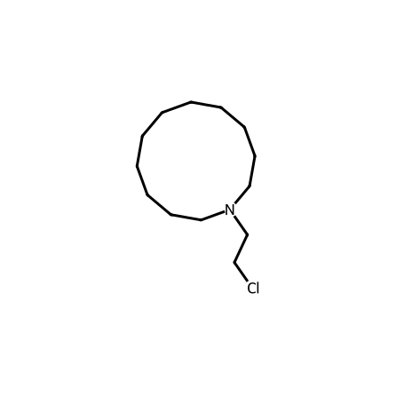 ClCCN1CCCCCCCCCCC1